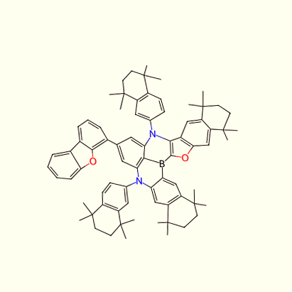 CC1(C)CCC(C)(C)c2cc(N3c4cc5c(cc4B4c6oc7cc8c(cc7c6N(c6ccc7c(c6)C(C)(C)CCC7(C)C)c6cc(-c7cccc9c7oc7ccccc79)cc3c64)C(C)(C)CCC8(C)C)C(C)(C)CCC5(C)C)ccc21